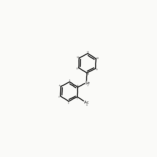 CC(=O)c1ccccc1[Se]c1ccccc1